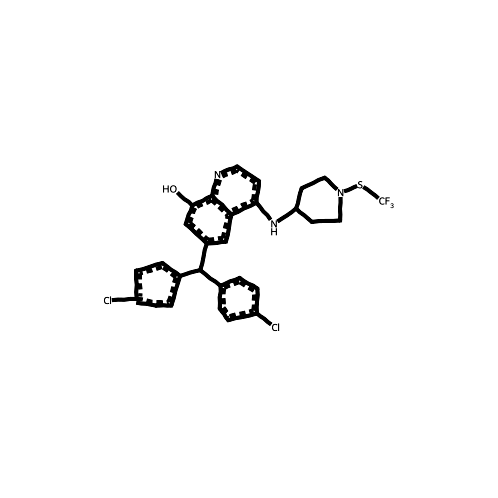 Oc1cc(C(c2ccc(Cl)cc2)c2ccc(Cl)cc2)cc2c(NC3CCN(SC(F)(F)F)CC3)ccnc12